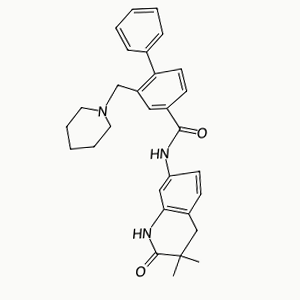 CC1(C)Cc2ccc(NC(=O)c3ccc(-c4ccccc4)c(CN4CCCCC4)c3)cc2NC1=O